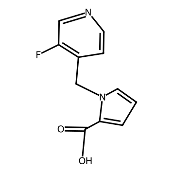 O=C(O)c1cccn1Cc1ccncc1F